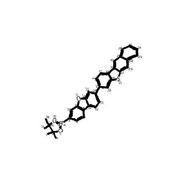 CC1(C)OB(c2ccc3c(c2)oc2cc(-c4ccc5c(c4)sc4cc6ccccc6cc45)ccc23)OC1(C)C